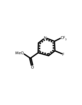 COC(=O)c1cnc(C(F)(F)F)c(F)c1